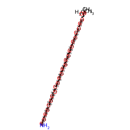 CC(C)(C)OC(=O)CCOCCOCCOCCOCCOCCOCCOCCOCCOCCOCCOCCOCCOCCOCCOCCOCCOCCOCCOCCOCCOCCOCCOCCON